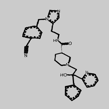 N#Cc1ccc(Cn2cncc2CCNC(=O)[C@H]2CCCN(CC(O)(c3ccccc3)c3ccccn3)C2)cc1